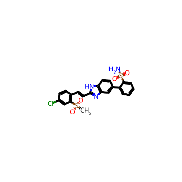 CS(=O)(=O)c1cc(Cl)ccc1/C=C/c1nc2cc(-c3ccccc3S(N)(=O)=O)ccc2[nH]1